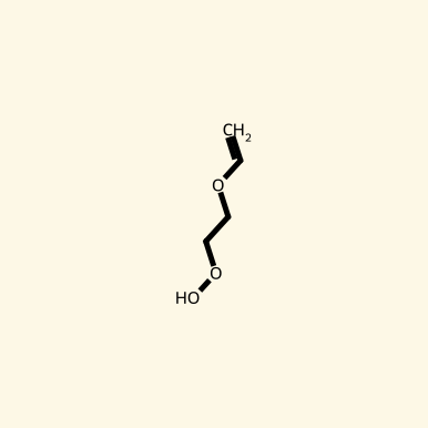 C=COCCOO